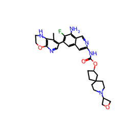 Cc1c(-c2cc3cc(NC(=O)O[C@@H]4CCC5(CCN(C6COC6)CC5)C4)ncc3c(N)c2F)cnc2c1NCCO2